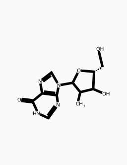 CC1C(O)[C@@H](CO)OC1n1cnc2c(=O)[nH]cnc21